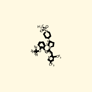 [2H]C([2H])([2H])Oc1cccc([C@@H]2[C@H](C3CCN(S(C)(=O)=O)CC3)CCN2C(=O)Cc2ncc(C(F)(F)F)cc2C(F)(F)F)c1C